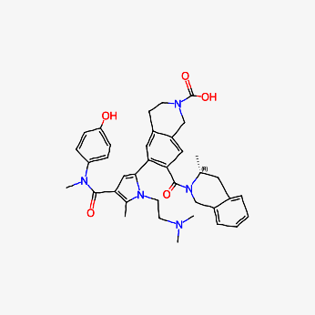 Cc1c(C(=O)N(C)c2ccc(O)cc2)cc(-c2cc3c(cc2C(=O)N2Cc4ccccc4C[C@H]2C)CN(C(=O)O)CC3)n1CCN(C)C